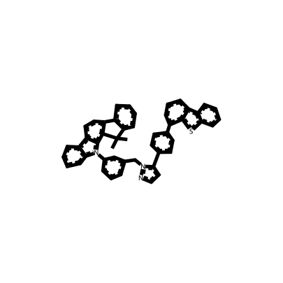 CC1(C)c2ccccc2-c2ccc3c4ccccc4n(-c4cccc(Cn5nccc5-c5ccc(-c6cccc7c6sc6ccccc67)cc5)c4)c3c21